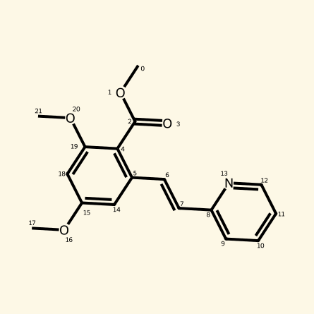 COC(=O)c1c(C=Cc2ccccn2)cc(OC)cc1OC